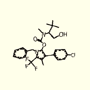 Cc1c(-c2ccc(Cl)cc2)c(OC(=O)N(C)C(CO)C(C)(C)C)n(Cc2ccccc2)c1C(F)(F)F